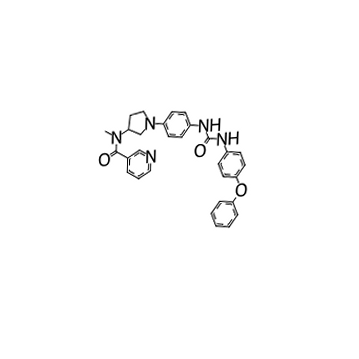 CN(C(=O)c1cccnc1)C1CCN(c2ccc(NC(=O)Nc3ccc(Oc4ccccc4)cc3)cc2)C1